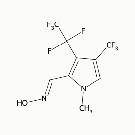 Cn1cc(C(F)(F)F)c(C(F)(F)C(F)(F)F)c1C=NO